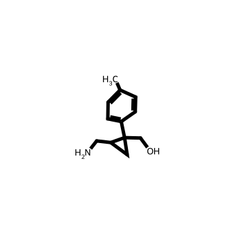 Cc1ccc(C2(CO)CC2CN)cc1